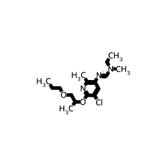 CCCOCC(C)Oc1nc(C)c(/N=C/N(C)CC)cc1Cl